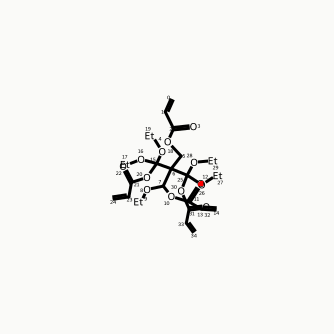 C=CC(=O)OCC(C(OCC)OC(=O)C=C)(C(OCC)(OCC)OC(=O)C=C)C(OCC)(OCC)OC(=O)C=C